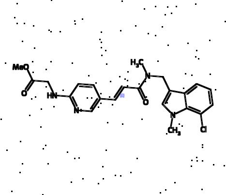 COC(=O)CNc1ccc(/C=C/C(=O)N(C)Cc2cn(C)c3c(Cl)cccc23)cn1